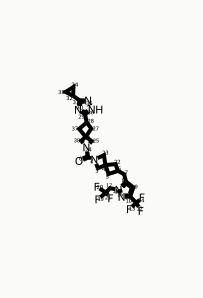 O=C(N1CC2(CC(Cc3cc(C(F)(F)F)nn3CC(F)(F)F)C2)C1)N1CC2(CC(c3nc(C4CC4)n[nH]3)C2)C1